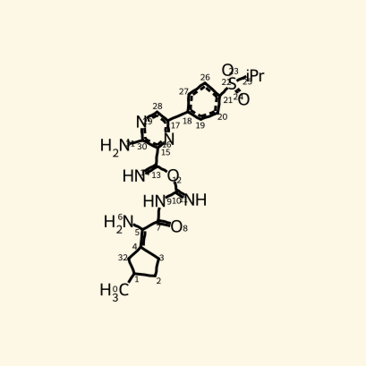 CC1CC/C(=C(/N)C(=O)NC(=N)OC(=N)c2nc(-c3ccc(S(=O)(=O)C(C)C)cc3)cnc2N)C1